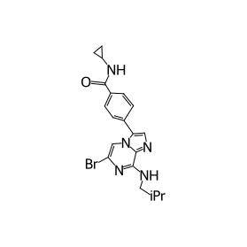 CC(C)CNc1nc(Br)cn2c(-c3ccc(C(=O)NC4CC4)cc3)cnc12